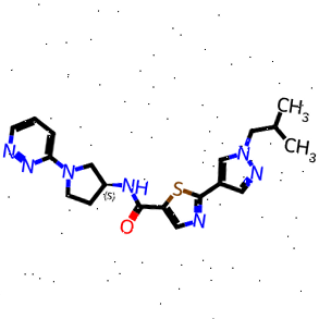 CC(C)Cn1cc(-c2ncc(C(=O)N[C@H]3CCN(c4cccnn4)C3)s2)cn1